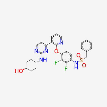 O=S(=O)(Cc1ccccc1)Nc1ccc(Oc2ncccc2-c2ccnc(N[C@H]3CC[C@H](O)CC3)n2)c(F)c1F